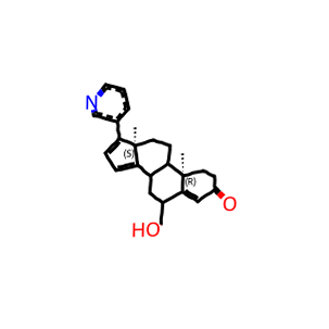 C[C@]12CCC3C(CC(CO)C4=CC(=O)CC[C@@]43C)C1=CC=C2c1cccnc1